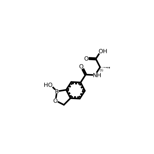 C[C@H](NC(=O)c1ccc2c(c1)B(O)OC2)C(=O)O